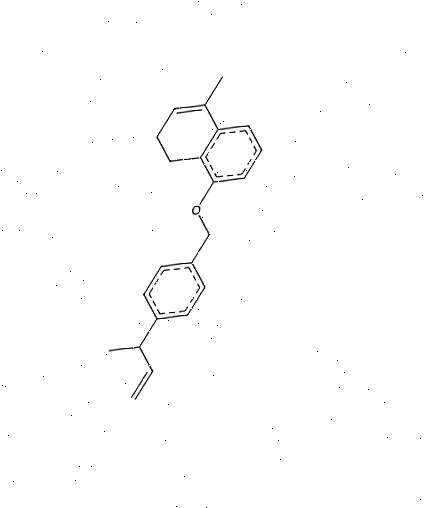 C=CC(C)c1ccc(COc2cccc3c2CCC=C3C)cc1